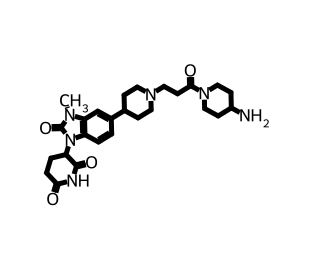 Cn1c(=O)n(C2CCC(=O)NC2=O)c2ccc(C3CCN(CCC(=O)N4CCC(N)CC4)CC3)cc21